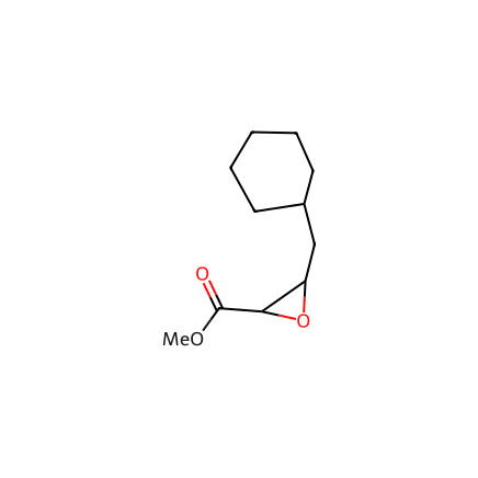 COC(=O)C1OC1CC1CCCCC1